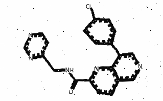 O=C(NCc1ccncn1)c1ccc2cncc(-c3ccc(Cl)cc3)c2n1